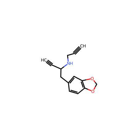 C#CCNC(C#C)Cc1ccc2c(c1)OCO2